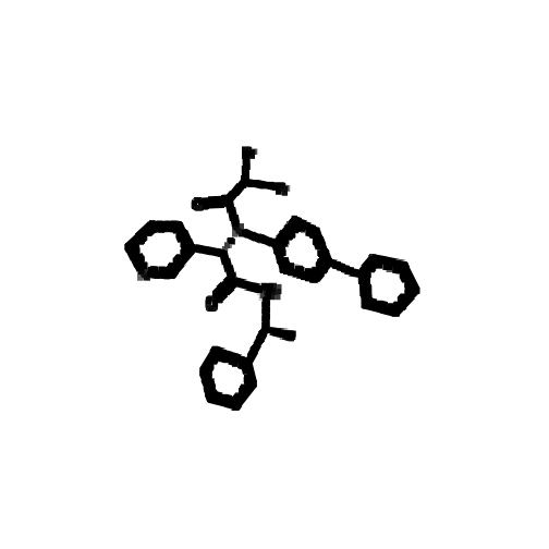 C[C@H](NC(=O)[C@H](c1cccnc1)N(C(=O)C(Br)Br)c1ccc(-c2ccccc2)cc1)c1ccccc1